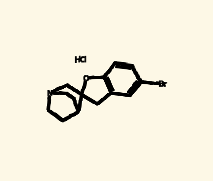 Brc1ccc2c(c1)CC1(CN3CCC1CC3)O2.Cl